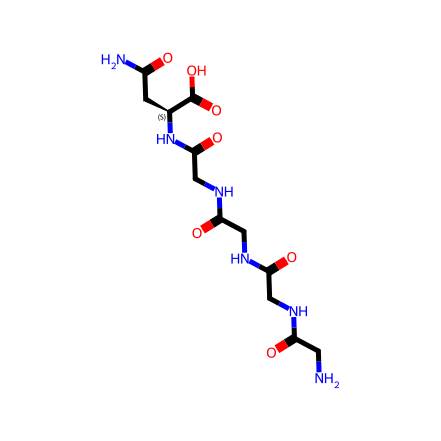 NCC(=O)NCC(=O)NCC(=O)NCC(=O)N[C@@H](CC(N)=O)C(=O)O